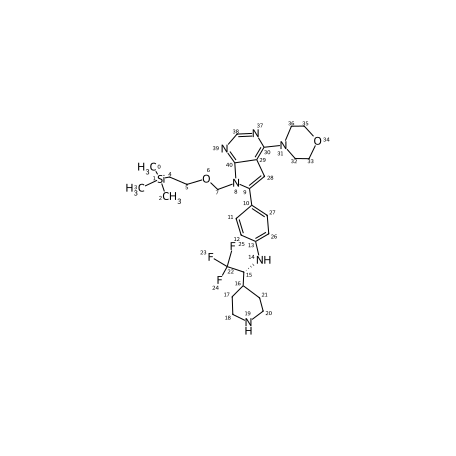 C[Si](C)(C)CCOCn1c(-c2ccc(N[C@H](C3CCNCC3)C(F)(F)F)cc2)cc2c(N3CCOCC3)ncnc21